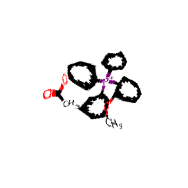 CC(=O)[O-].COc1ccccc1[P+](c1ccccc1)(c1ccccc1)c1ccccc1